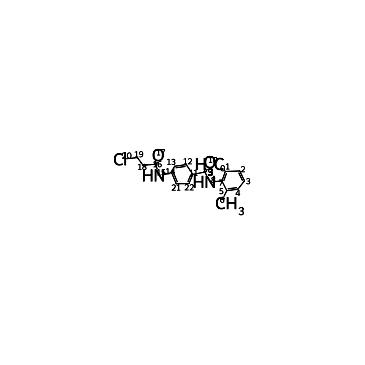 Cc1cccc(C)c1NC(=O)c1ccc(NC(=O)CCCl)cc1